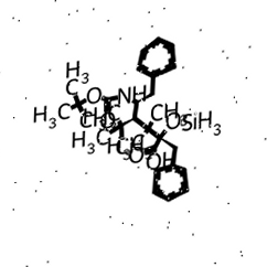 CC(C)(C)OC(=O)N[C@@H](Cc1ccccc1)[C@H](C(C)(C)C)C(C)(C)[C@](Cc1ccccc1)(O[SiH3])C(=O)O